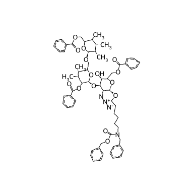 CC1[C@@H](OCC2O[C@@H](O[C@@H]3C(N=[N+]=[N-])[C@H](OCCCCCCN(Cc4ccccc4)C(=O)OCc4ccccc4)OC(COC(=O)c4ccccc4)[C@@H]3O)C(OC(=O)c3ccccc3)[C@@H](C)[C@@H]2C)OC(COC(=O)c2ccccc2)[C@@H](C)[C@@H]1C